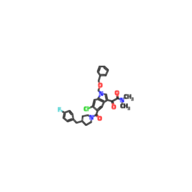 CN(C)C(=O)C(=O)c1cn(COCc2ccccc2)c2cc(Cl)c(C(=O)N3CCC(Cc4ccc(F)cc4)CC3)cc12